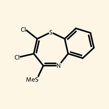 CSC1=Nc2ccccc2SC(Cl)=C1Cl